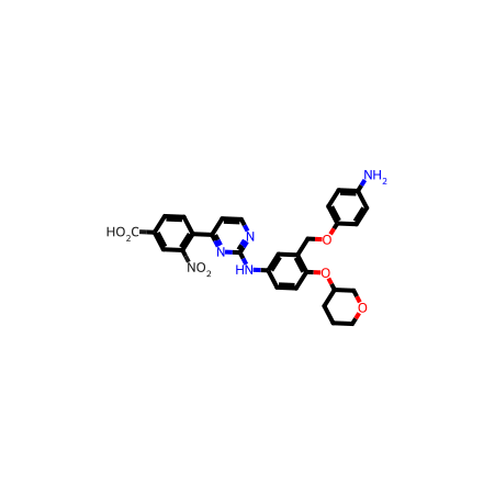 Nc1ccc(OCc2cc(Nc3nccc(-c4ccc(C(=O)O)cc4[N+](=O)[O-])n3)ccc2OC2CCCOC2)cc1